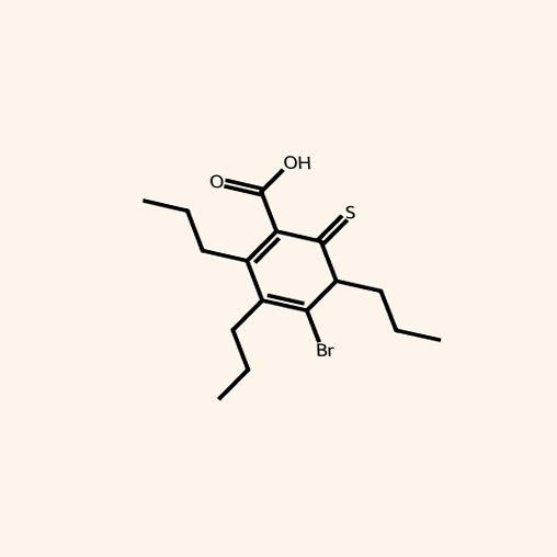 CCCC1=C(C(=O)O)C(=S)C(CCC)C(Br)=C1CCC